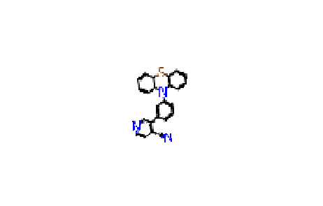 N#Cc1ccncc1-c1cccc(N2C3C=CC=CC3SC3C=CC=CC32)c1